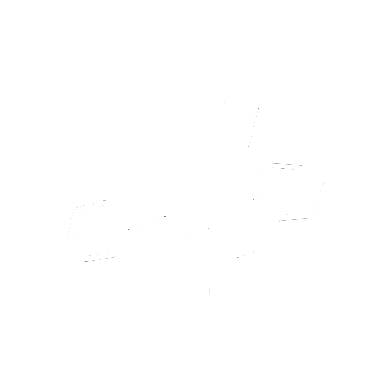 C=CCc1cccc(OC(C)COCc2ccccc2)c1